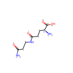 NC(=O)CCNC(=O)CC[C@H](N)C(=O)O